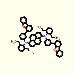 CCc1cccc(CC)c1N(c1cccc(-c2cccc3c2oc2ccccc23)c1)c1ccc2ccc3c(N(c4cccc(-c5cccc6c5oc5ccccc56)c4)c4c(CC)cccc4CC)ccc4ccc1c2c43